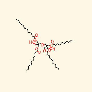 CCCCCCCCCC(=O)OCC(CO)(COCC(CO)(COC(=O)CCCCCCCCC)COC(=O)CCCCCCCCC)COC(=O)CCCCCCCCC